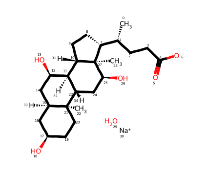 C[C@H](CCC(=O)[O-])[C@H]1CC[C@H]2[C@@H]3[C@H](O)C[C@@H]4C[C@H](O)CC[C@]4(C)[C@H]3C[C@H](O)[C@]12C.O.[Na+]